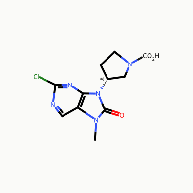 Cn1c(=O)n([C@@H]2CCN(C(=O)O)C2)c2nc(Cl)ncc21